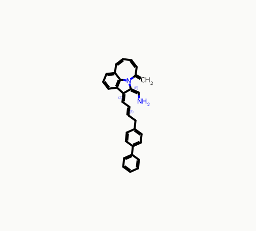 C=c1ccccc2cccc3c(=C/C=C/Cc4ccc(-c5ccccc5)cc4)/c(=C\N)n1c23